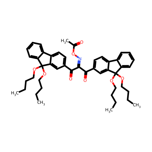 CCCCOC1(OCCCC)c2ccccc2-c2ccc(C(=O)C(=NOC(C)=O)C(=O)c3ccc4c(c3)C(OCCCC)(OCCCC)c3ccccc3-4)cc21